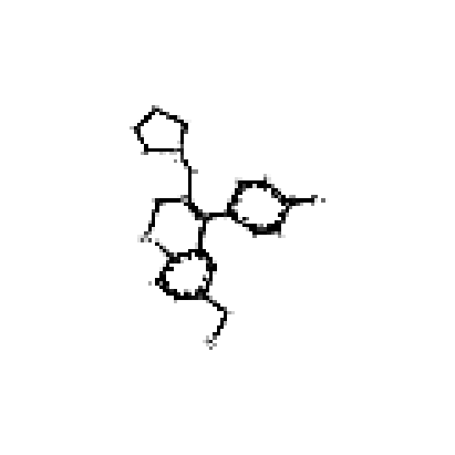 OCc1ccc2c(c1)C(c1ccc(F)cc1)=C(CN1CCCC1)CO2